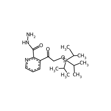 CC(C)[Si](OCC(=O)c1cccnc1C(=O)NN)(C(C)C)C(C)C